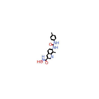 Cc1ccc(NC(=O)Nc2ccc3cc(C(=O)NO)cnc3c2C)cc1